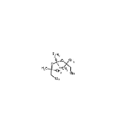 CC(C)(C)CC(C)(C)OP(=S)(S)OC(C)(C)CC(C)(C)C.[SnH2]